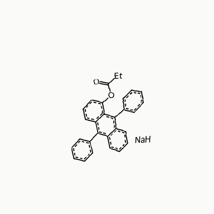 CCC(=O)Oc1cccc2c(-c3ccccc3)c3ccccc3c(-c3ccccc3)c12.[NaH]